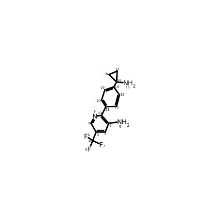 Nc1cc(C(F)(F)F)cnc1-c1ccc(C2(N)CC2)cc1